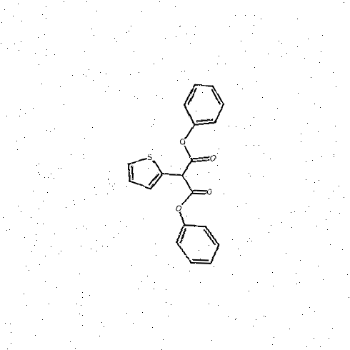 O=C(Oc1ccccc1)C(C(=O)Oc1ccccc1)c1cccs1